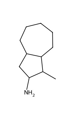 CC1C(N)CC2CCCCCC21